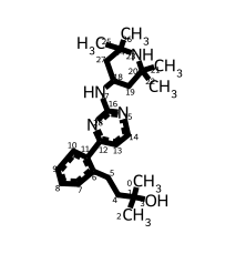 CC(C)(O)CCc1ccccc1-c1ccnc(NC2CC(C)(C)NC(C)(C)C2)n1